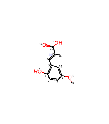 COc1ccc(O)c(/C=C(\C)C(=O)O)c1